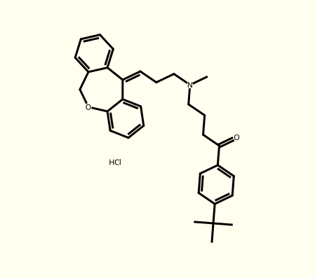 CN(CCC=C1c2ccccc2COc2ccccc21)CCCC(=O)c1ccc(C(C)(C)C)cc1.Cl